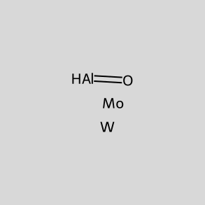 [Mo].[O]=[AlH].[W]